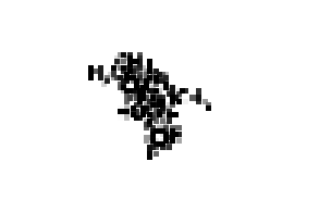 CC(N)CC(=O)NC(Cc1cc(F)cc(F)c1)C(O)CNC1(c2cccc(C(C)(C)C)c2)CCOCC1